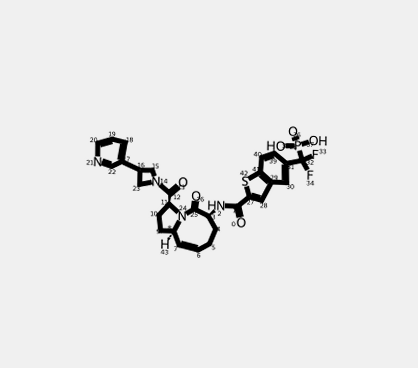 O=C(N[C@H]1CC/C=C\[C@H]2CC[C@@H](C(=O)N3CC(c4cccnc4)C3)N2C1=O)c1cc2cc(C(F)(F)P(=O)(O)O)ccc2s1